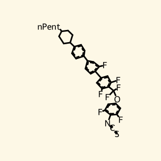 CCCCCC1CCC(c2ccc(-c3ccc(-c4cc(F)c(C(F)(F)Oc5cc(F)c(N=C=S)c(F)c5)c(F)c4)c(F)c3)cc2)CC1